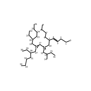 CCC/C=C/C(CCCC)CN(CC(C)CC)CN(CC(CC)CCCC)CC(CC)CCCC